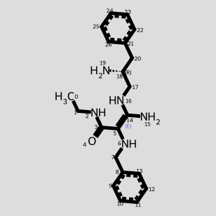 CCNC(=O)/C(NCc1ccccc1)=C(/N)NC[C@H](N)Cc1ccccc1